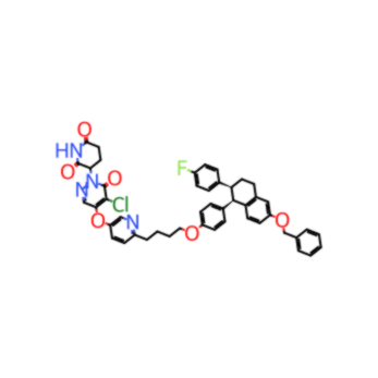 O=C1CCC(n2ncc(Oc3ccc(CCCCOc4ccc([C@@H]5c6ccc(OCc7ccccc7)cc6CC[C@@H]5c5ccc(F)cc5)cc4)nc3)c(Cl)c2=O)C(=O)N1